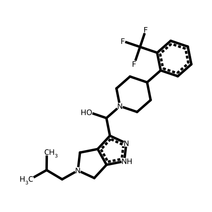 CC(C)CN1Cc2[nH]nc(C(O)N3CCC(c4ccccc4C(F)(F)F)CC3)c2C1